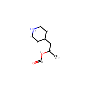 CC(CC1CCNCC1)OC=O